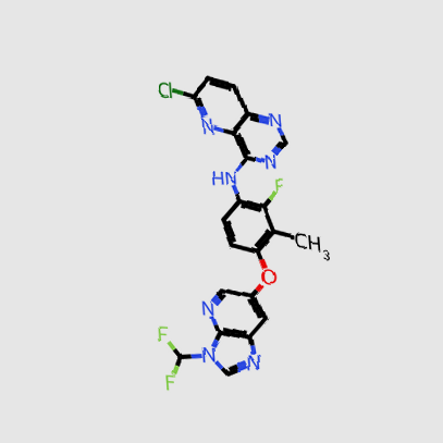 Cc1c(Oc2cnc3c(c2)ncn3C(F)F)ccc(Nc2ncnc3ccc(Cl)nc23)c1F